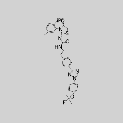 Cc1ccc(C(C)C)c(N2C(=O)CS/C2=N\C(=O)NCCc2ccc(-c3ncn(-c4ccc(OC(C)(C)F)cc4)n3)cc2)c1